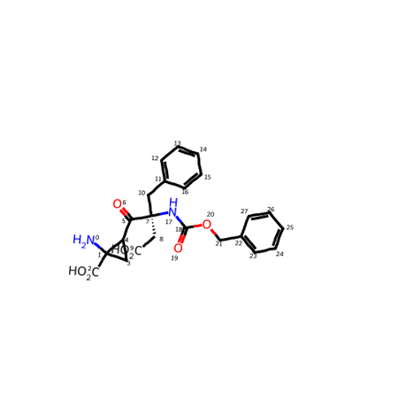 NC1(C(=O)O)CC1C(=O)[C@@](CC(=O)O)(Cc1ccccc1)NC(=O)OCc1ccccc1